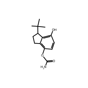 CC(C)(C)C1CCc2c(OC(N)=O)ccc(O)c21